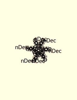 CCCCCCCCCCOc1ccc(OC(=O)c2c(C(=O)Oc3ccc(OCCCCCCCCCC)cc3)c(C(=O)Oc3ccc(OCCCCCCCCCC)cc3)c(C(=O)Oc3ccc(OCCCCCCCCCC)cc3)c(C(=O)Oc3ccc(OCCCCCCCCCC)cc3)c2C(=O)Oc2ccc(OCCCCCCCCCC)cc2)cc1